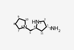 N[C@H]1CN[C@H](CN2CCCC2)C1